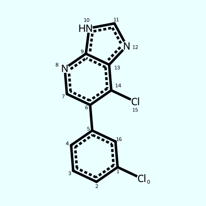 Clc1cccc(-c2cnc3[nH]cnc3c2Cl)c1